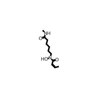 C/C=C\C(=O)N(O)CCCCCC(=O)NC